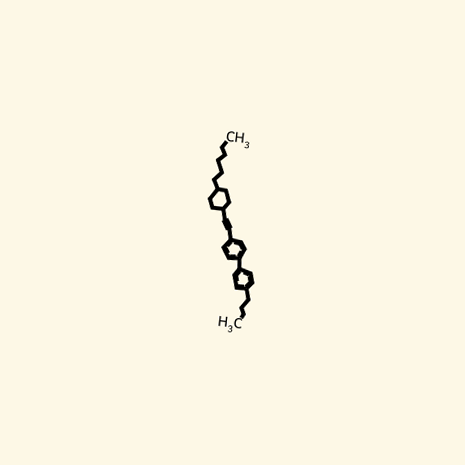 CCCCCCC1CCC(C#Cc2ccc(-c3ccc(CCCC)cc3)cc2)CC1